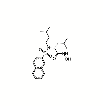 CC(C)CCN([C@H](CC(C)C)C(=O)NO)S(=O)(=O)c1ccc2ccccc2c1